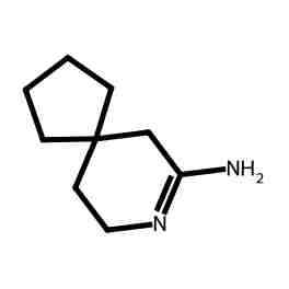 NC1=NCCC2(CCCC2)C1